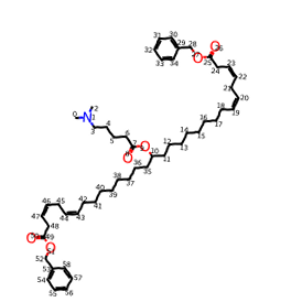 CN(C)CCCCC(=O)OC(CCCCCCCC/C=C\C/C=C\CC(=O)OCc1ccccc1)CCCCCCCC/C=C\C/C=C\CC(=O)OCc1ccccc1